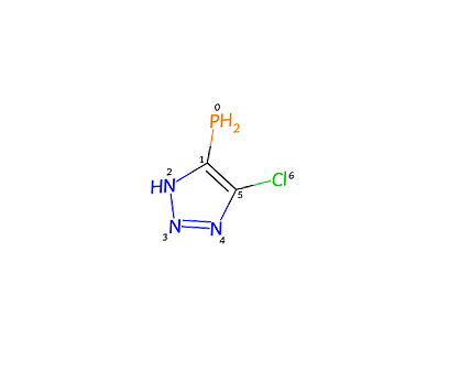 Pc1[nH]nnc1Cl